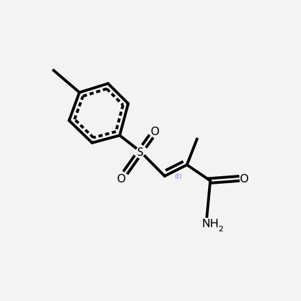 C/C(=C\S(=O)(=O)c1ccc(C)cc1)C(N)=O